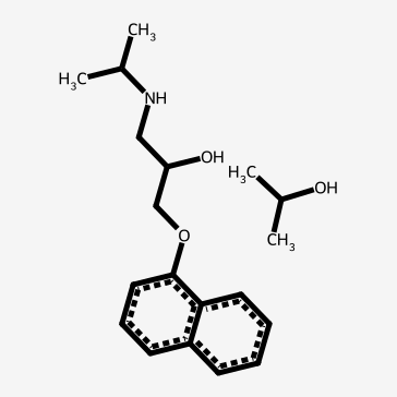 CC(C)NCC(O)COc1cccc2ccccc12.CC(C)O